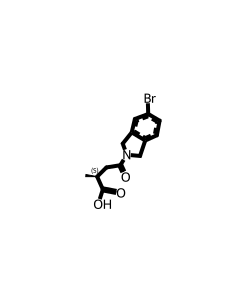 C[C@@H](CC(=O)N1Cc2ccc(Br)cc2C1)C(=O)O